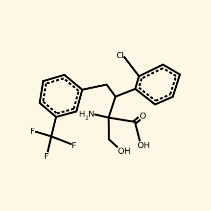 NC(CO)(C(=O)O)C(Cc1cccc(C(F)(F)F)c1)c1ccccc1Cl